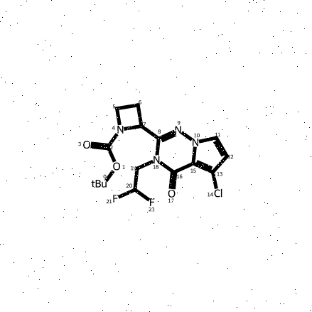 CC(C)(C)OC(=O)N1CCC1c1nn2ccc(Cl)c2c(=O)n1CC(F)F